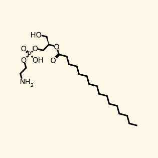 CCCCCCCCCCCCCCCC(=O)O[C@H](CO)COP(=O)(O)OCCN